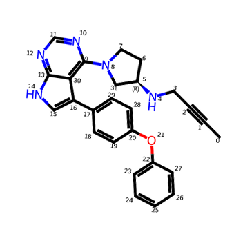 CC#CCN[C@@H]1CCN(c2ncnc3[nH]cc(-c4ccc(Oc5ccccc5)cc4)c23)C1